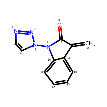 C=C1C(=O)N(n2ccnn2)c2ccccc21